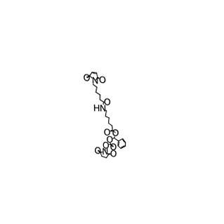 O=C(CCCCCN1C(=O)C=CC1=O)NCCCCCC(=O)OC(OC(=O)ON1C(=O)CCC1=O)c1ccccc1